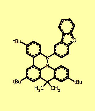 CC(C)(C)c1ccc2c(c1)-c1cc(C(C)(C)C)cc3c1N(B2c1ccc2oc4ccccc4c2c1)c1ccc(C(C)(C)C)cc1C3(C)C